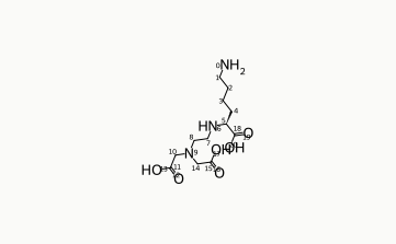 NCCCC[C@H](NCCN(CC(=O)O)CC(=O)O)C(=O)O